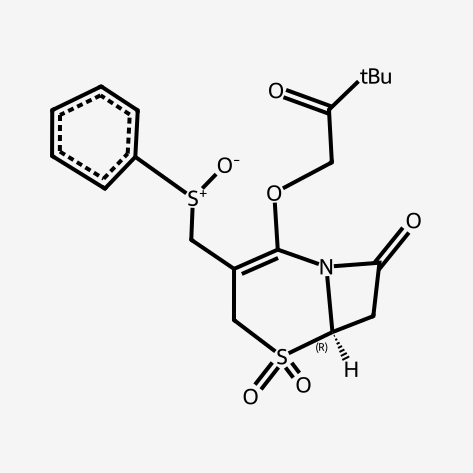 CC(C)(C)C(=O)COC1=C(C[S+]([O-])c2ccccc2)CS(=O)(=O)[C@@H]2CC(=O)N12